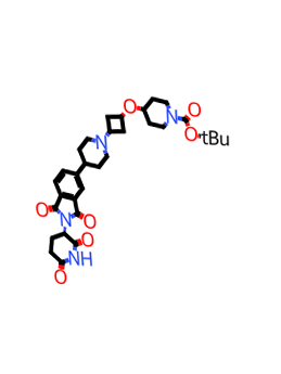 CC(C)(C)OC(=O)N1CCC(OC2CC(N3CCC(c4ccc5c(c4)C(=O)N([C@@H]4CCC(=O)NC4=O)C5=O)CC3)C2)CC1